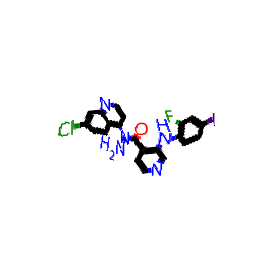 NN(C(=O)c1ccncc1Nc1ccc(I)cc1F)c1ccnc2cc(Cl)ccc12